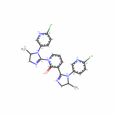 CC1CN=C(c2cccn(C3=NCC(C)N3c3ccc(F)nc3)c2=O)N1c1ccc(F)nc1